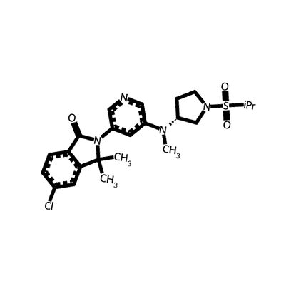 CC(C)S(=O)(=O)N1CC[C@@H](N(C)c2cncc(N3C(=O)c4ccc(Cl)cc4C3(C)C)c2)C1